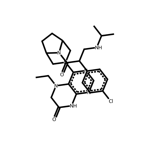 CCN1CC(=O)Nc2ncnc(N3CC4CCC(C3)N4C(=O)C(CNC(C)C)c3ccc(Cl)cc3)c21